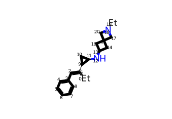 CC/C(=C\c1ccccc1)[C@@H]1C[C@H]1NC1CC2(C1)CN(CC)C2